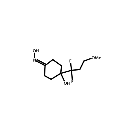 COCCC(F)(F)C1(O)CCC(=NO)CC1